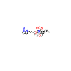 Cc1cc2c(c(C(C(=O)O)N3CC(OCCCCCc4ccc5c(n4)NCCC5)C3)c1)C(C)(C)OCC2